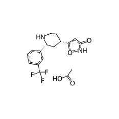 CC(=O)O.O=c1cc([C@H]2CCN[C@@H](c3cccc(C(F)(F)F)c3)C2)o[nH]1